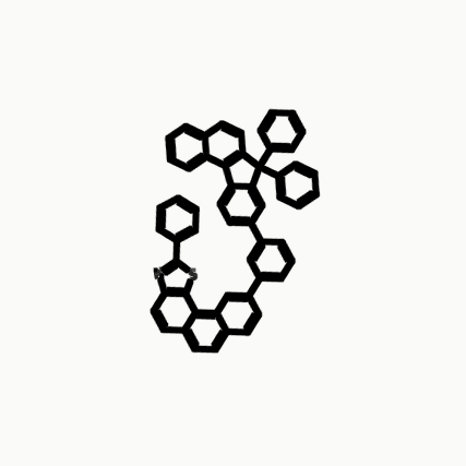 c1ccc(-c2nc3ccc4ccc5ccc(-c6cccc(-c7ccc8c(c7)C(c7ccccc7)(c7ccccc7)c7ccc9ccccc9c7-8)c6)cc5c4c3s2)cc1